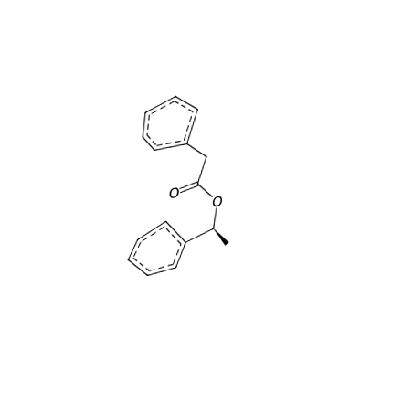 C[C@H](OC(=O)Cc1ccccc1)c1ccccc1